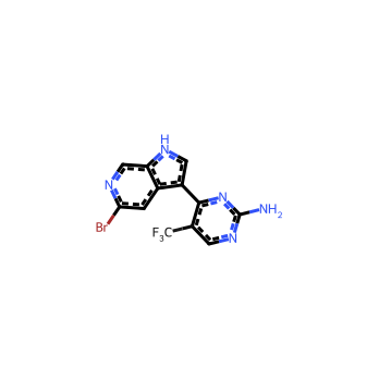 Nc1ncc(C(F)(F)F)c(-c2c[nH]c3cnc(Br)cc23)n1